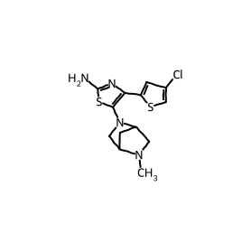 CN1CC2CC1CN2c1sc(N)nc1-c1cc(Cl)cs1